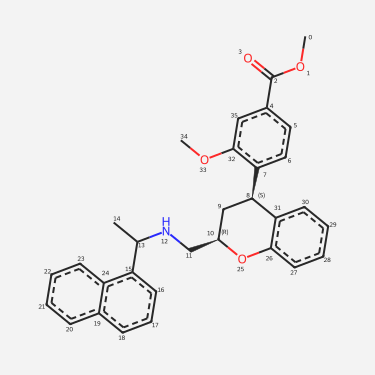 COC(=O)c1ccc([C@@H]2C[C@H](CNC(C)c3cccc4ccccc34)Oc3ccccc32)c(OC)c1